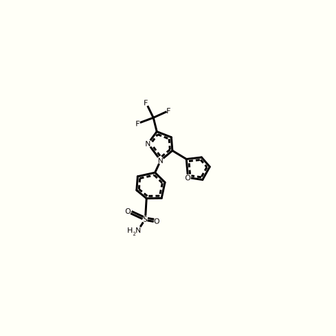 NS(=O)(=O)c1ccc(-n2nc(C(F)(F)F)cc2-c2ccco2)cc1